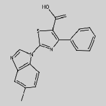 C=C(O)c1sc(-n2cnc3cc(C)ccc32)nc1-c1ccccc1